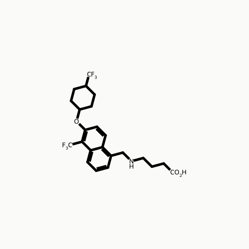 O=C(O)CCCNCc1cccc2c(C(F)(F)F)c(OC3CCC(C(F)(F)F)CC3)ccc12